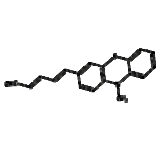 CN1c2ccccc2Sc2cc(/C=C/C=C/C=O)ccc21